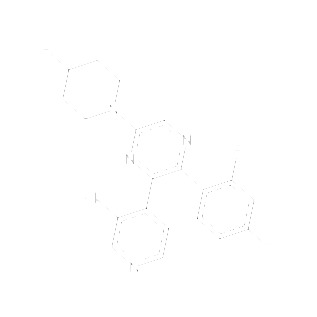 Fc1ccc(-c2ncc(N3CCC(F)CC3)nc2-c2ccncc2Cl)c(F)c1